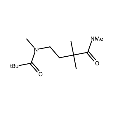 CNC(=O)C(C)(C)CCN(C)C(=O)C(C)(C)C